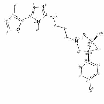 Cc1ccoc1-c1nnc(SCCCN2C[C@@H]3C[C@]3(c3ccc(Br)cc3)C2)n1C